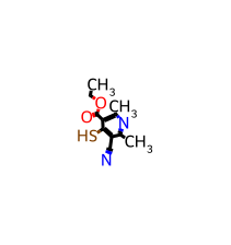 CCOC(=O)c1c(C)nc(C)c(C#N)c1S